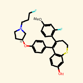 COc1ccc(C2=C(c3ccc(O[C@H]4CCN(CCCF)C4)cc3)c3ccc(O)cc3SCC2)c(F)c1